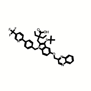 CCC(CC)(Cc1c(SC(C)(C)C)c2cc(OCc3cnc4ccccc4n3)ccc2n1Cc1ccc(-c2ccc(C(F)(F)F)cn2)cc1)C(=O)O